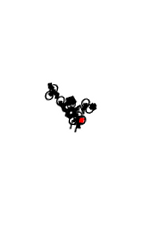 CCOC(=O)CCOCC(Cc1ccc(OS(=O)(=O)C(F)(F)F)c(CNC(=O)OC(C)(C)C)c1)c1ccco1